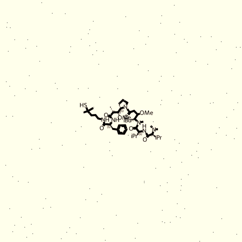 CC[C@H](C)C(C(CC(=O)N1CCC[C@H]1[C@H](OC)[C@@H](C)C(=O)N[C@@H](Cc1ccccc1)C(=O)NCCCC(C)(C)S)OC)N(C)C(=O)[C@@H](NC(=O)[C@H](C(C)C)N(C)C)C(C)C